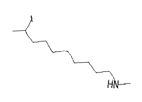 CNCCCCCCCCC(C)I